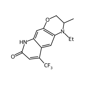 CCN1c2cc3c(C(F)(F)F)cc(=O)[nH]c3cc2OCC1C